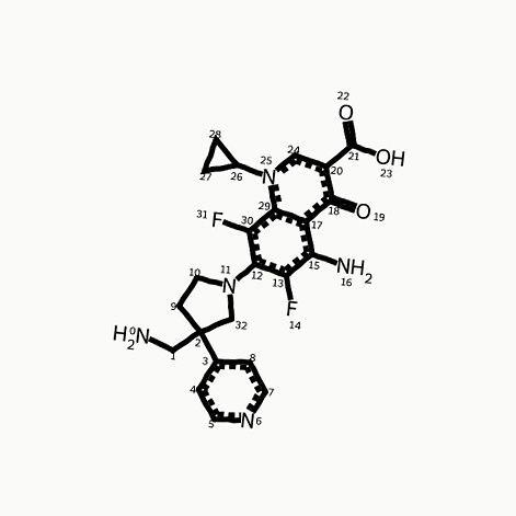 NCC1(c2ccncc2)CCN(c2c(F)c(N)c3c(=O)c(C(=O)O)cn(C4CC4)c3c2F)C1